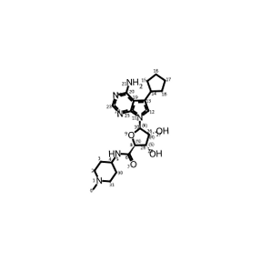 CN1CCC(NC(=O)[C@H]2O[C@@H](n3cc(C4CCCC4)c4c(N)ncnc43)[C@H](O)[C@@H]2O)CC1